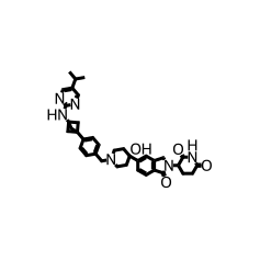 CC(C)c1cnc(NC23CC(c4ccc(CN5CCC(O)(c6ccc7c(c6)CN(C6CCC(=O)NC6=O)C7=O)CC5)cc4)(C2)C3)nc1